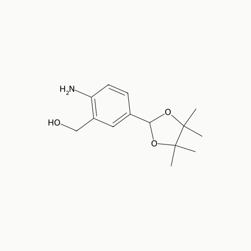 CC1(C)OC(c2ccc(N)c(CO)c2)OC1(C)C